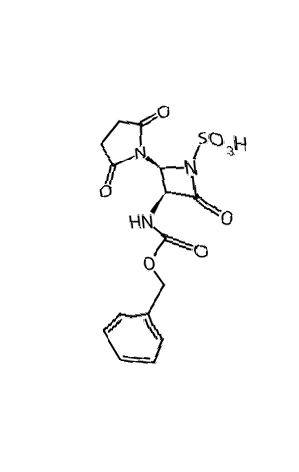 O=C(N[C@@H]1C(=O)N(S(=O)(=O)O)[C@@H]1N1C(=O)CCC1=O)OCc1ccccc1